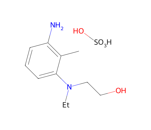 CCN(CCO)c1cccc(N)c1C.O=S(=O)(O)O